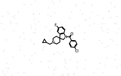 O=C(c1ccc(Cl)cc1)N1CC2(CCN(CC3CC3)CC2)c2cc(F)ccc21